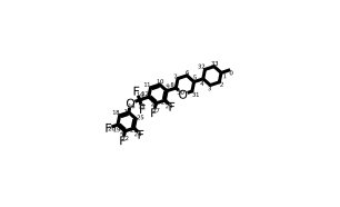 CC1CCC(C2CCC(c3ccc(C(F)(F)Oc4cc(F)c(F)c(F)c4)c(F)c3F)OC2)CC1